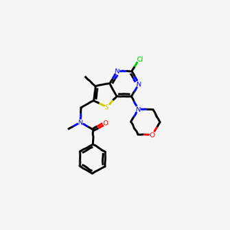 Cc1c(CN(C)C(=O)c2ccccc2)sc2c(N3CCOCC3)nc(Cl)nc12